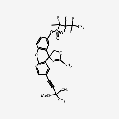 COC(C)(C)C#Cc1cnc2c(c1)C1(COC(N)=N1)c1cc(OS(=O)(=O)C(F)(F)C(F)(F)C(F)(F)C(F)(F)F)ccc1O2